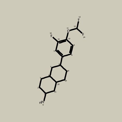 CCCC1CCC2CC(c3ccc(OC(F)F)c(F)c3)CCC2C1